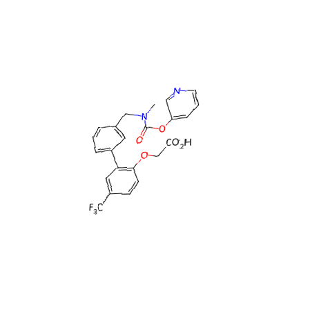 CN(Cc1cccc(-c2cc(C(F)(F)F)ccc2OCC(=O)O)c1)C(=O)Oc1cccnc1